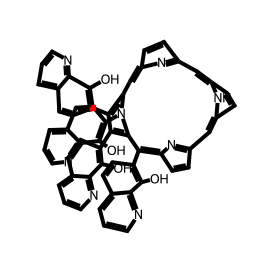 Oc1c(-c2c(-c3ccc4cccnc4c3O)c3c(-c4ccc5cccnc5c4O)c4nc(cc5ccc(cc6nc(cc2n3-c2ccc3cccnc3c2O)C=C6)[nH]5)C=C4)ccc2cccnc12